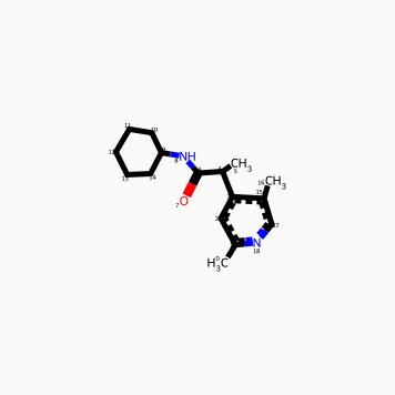 Cc1cc(C(C)C(=O)NC2CCCCC2)c(C)cn1